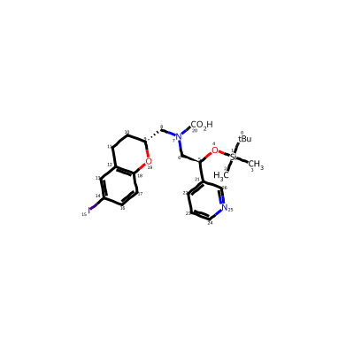 CC(C)(C)[Si](C)(C)O[C@H](CN(C[C@H]1CCc2cc(I)ccc2O1)C(=O)O)c1cccnc1